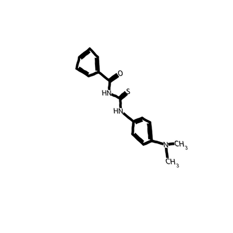 CN(C)c1ccc(NC(=S)NC(=O)c2ccccc2)cc1